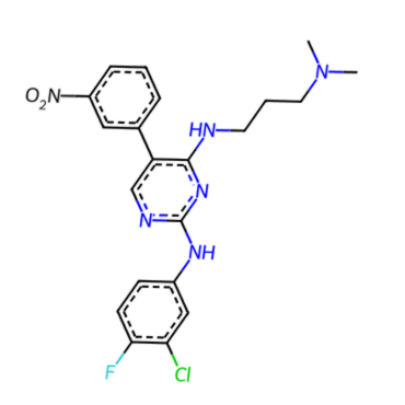 CN(C)CCCNc1nc(Nc2ccc(F)c(Cl)c2)ncc1-c1cccc([N+](=O)[O-])c1